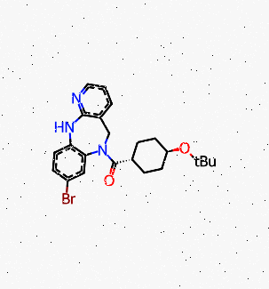 CC(C)(C)O[C@H]1CC[C@H](C(=O)N2Cc3cccnc3Nc3ccc(Br)cc32)CC1